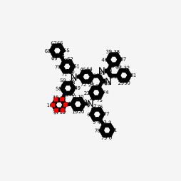 c1ccc(-c2ccc(N(c3ccc(-c4ccccc4)cc3)c3ccc(-c4nc(-c5ccccc5)c(-c5ccccc5)nc4-c4ccc(N(c5ccc(-c6ccccc6)cc5)c5ccc(-c6ccccc6)cc5)cc4)cc3)cc2)cc1